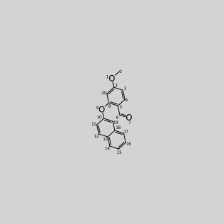 COc1ccc(C=O)c(Oc2ccc3ccccc3c2)c1